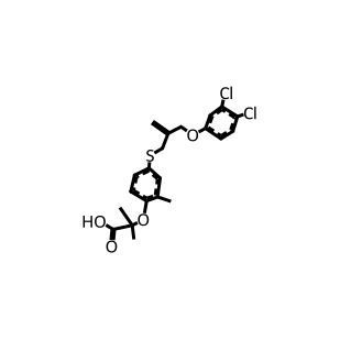 C=C(COc1ccc(Cl)c(Cl)c1)CSc1ccc(OC(C)(C)C(=O)O)c(C)c1